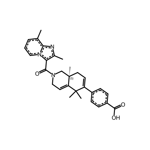 Cc1nc2c(C)cccn2c1C(=O)N1CC=C2C(C)(C)C(c3ccc(C(=O)O)cc3)=CC[C@]2(C)C1